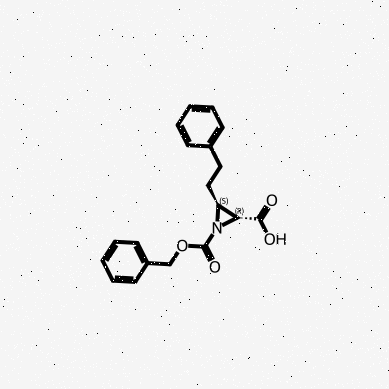 O=C(O)[C@H]1[C@H](CCc2ccccc2)N1C(=O)OCc1ccccc1